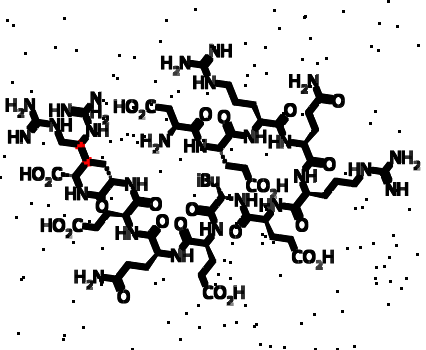 CC[C@H](C)[C@H](NC(=O)[C@H](CCC(=O)O)NC(=O)[C@H](CCCNC(=N)N)NC(=O)[C@H](CCC(N)=O)NC(=O)[C@H](CCCNC(=N)N)NC(=O)[C@H](CCC(=O)O)NC(=O)[C@@H](N)CC(=O)O)C(=O)N[C@@H](CCC(=O)O)C(=O)N[C@@H](CCC(N)=O)C(=O)N[C@@H](CCC(=O)O)C(=O)N[C@@H](CCCNC(=N)N)C(=O)N[C@@H](CCCNC(=N)N)C(=O)O